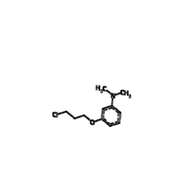 CN(C)c1cccc(OCCCCl)c1